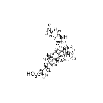 C=C(C)[C@@H]1CCC2[C@@H](CC(=O)N[C@H]3CC[C@@H](N(C)C)CC3)C[C@]3(C)[C@H](CC[C@@H]4[C@@]5(C)CC[C@H](OC(=O)CC(C)(C)C(=O)O)C(C)(C)[C@@H]5CC[C@]43C)[C@H]21